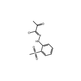 CC(=O)C(Cl)=NNc1ccccc1S(C)(=O)=O